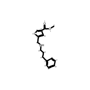 COC(=O)c1csc(CNCCCc2ccccc2)c1